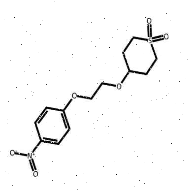 O=[N+]([O-])c1ccc(OCCOC2CCS(=O)(=O)CC2)cc1